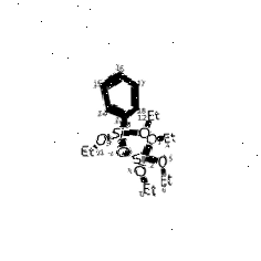 CCO[Si](OCC)(OCC)O[Si](OCC)(OCC)c1ccccc1